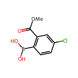 COC(=O)c1cc(Cl)ccc1B(O)O